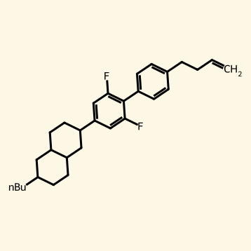 C=CCCc1ccc(-c2c(F)cc(C3CCC4CC(CCCC)CCC4C3)cc2F)cc1